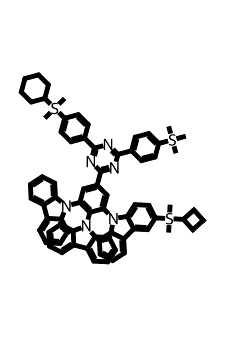 CS(C)(C)c1ccc(-c2nc(-c3ccc(S(C)(C)C4CCCCC4)cc3)nc(-c3cc(-n4c5ccccc5c5ccccc54)c(-n4c5ccccc5c5ccccc54)c(-n4c5ccccc5c5cc(S(C)(C)C6CCC6)ccc54)c3)n2)cc1